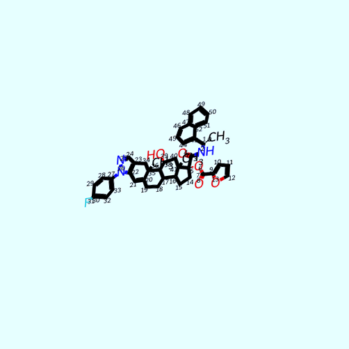 C[C@H](NC(=O)[C@@]1(OC(=O)c2ccco2)CCC2C3CCC4=Cc5c(cnn5-c5ccc(F)cc5)CC4(C)C3[C@@H](O)CC21C)c1cccc2ccccc12